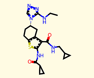 CCNc1nncn1[C@H]1CCc2sc(NC(=O)C3CC3)c(C(=O)NCC3CC3)c2C1